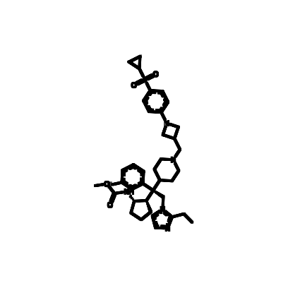 CCc1nccn1C[C@@](c1cccc(F)c1)(C1CCN(CC2CN(c3ccc(S(=O)(=O)C4CC4)cc3)C2)CC1)[C@H]1CCC[C@@H]1NC(=O)OC